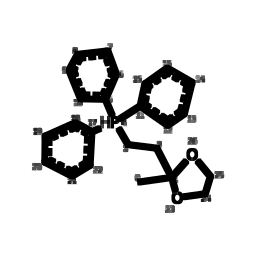 CC1(CC[PH](c2ccccc2)(c2ccccc2)c2ccccc2)OCCO1